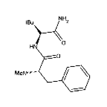 CC[C@H](C)[C@H](NC(=O)[C@H](Cc1ccccc1)NC)C(N)=O